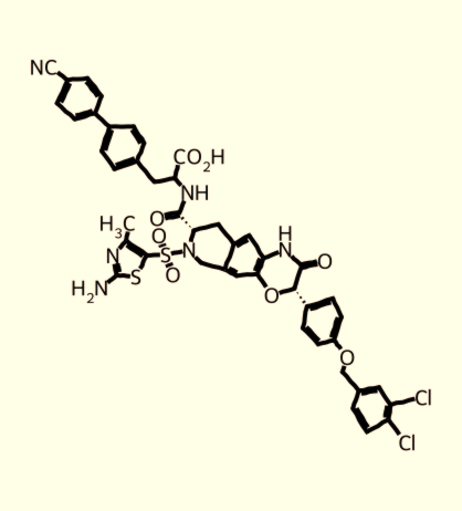 Cc1nc(N)sc1S(=O)(=O)N1Cc2cc3c(cc2C[C@H]1C(=O)NC(Cc1ccc(-c2ccc(C#N)cc2)cc1)C(=O)O)NC(=O)[C@H](c1ccc(OCc2ccc(Cl)c(Cl)c2)cc1)O3